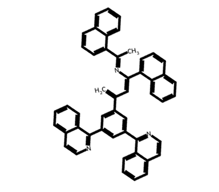 C=C(/C=C(\N=C(/C)c1cccc2ccccc12)c1cccc2ccccc12)c1cc(-c2nccc3ccccc23)cc(-c2nccc3ccccc23)c1